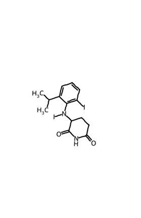 CC(C)c1cccc(I)c1N(I)C1CCC(=O)NC1=O